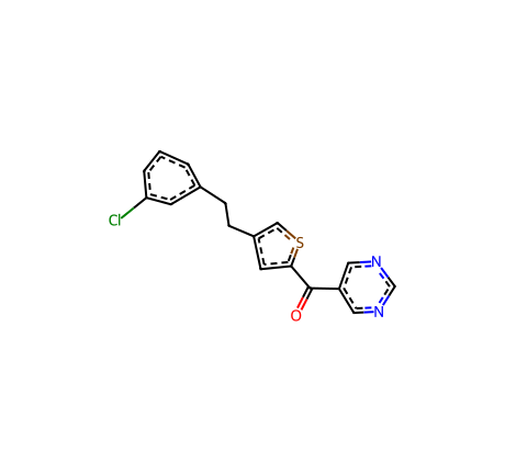 O=C(c1cncnc1)c1cc(CCc2cccc(Cl)c2)cs1